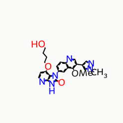 COc1c(-c2cnn(C)c2)cnc2ccc(-n3c(=O)[nH]c4nccc(OCCCCO)c43)cc12